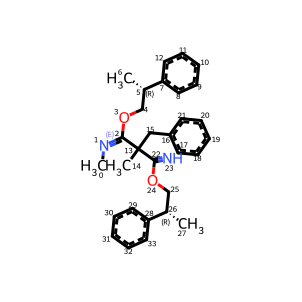 C/N=C(/OC[C@H](C)c1ccccc1)C(C)(Cc1ccccc1)C(=N)OC[C@H](C)c1ccccc1